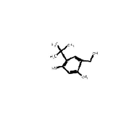 Cc1cc(S)c(C(C)(C)C)cc1CO